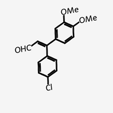 COc1ccc(C(=CC=O)c2ccc(Cl)cc2)cc1OC